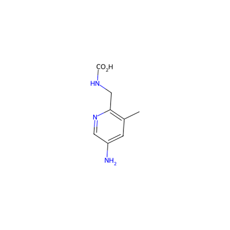 Cc1cc(N)cnc1CNC(=O)O